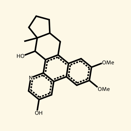 COc1cc2c3c(c4ncc(O)cc4c2cc1OC)C(O)C1(C)CCCC1C3